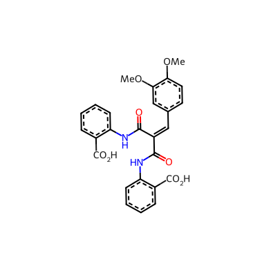 COc1ccc(C=C(C(=O)Nc2ccccc2C(=O)O)C(=O)Nc2ccccc2C(=O)O)cc1OC